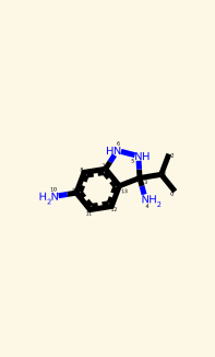 CC(C)C1(N)NNc2cc(N)ccc21